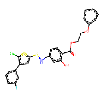 O=C(OCCOc1ccccc1)c1ccc(NSc2cc(-c3cccc(F)c3)c(Cl)s2)cc1O